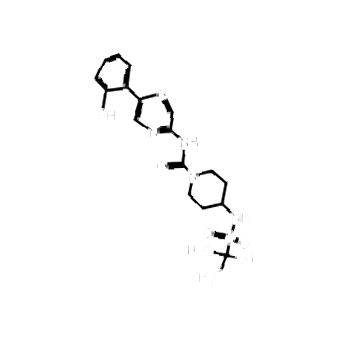 Cc1ccccc1-c1cnc(NC(=O)N2CCC(NS(=O)(=O)C(C)(C)C)CC2)cn1